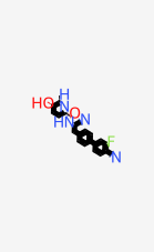 C[C@@H]1N[C@H](C(=O)NC(C#N)Cc2ccc(-c3ccc(C#N)c(F)c3)cc2)CC[C@@H]1O